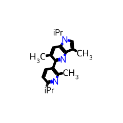 Cc1cc2c(nc1-c1ccc(C(C)C)nc1C)c(C)cn2C(C)C